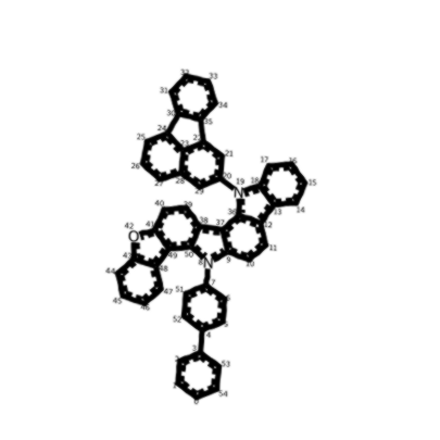 c1ccc(-c2ccc(-n3c4ccc5c6ccccc6n(-c6cc7c8c(cccc8c6)-c6ccccc6-7)c5c4c4ccc5oc6ccccc6c5c43)cc2)cc1